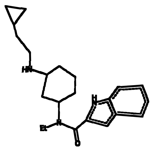 CCN(C(=O)c1cc2ccccc2[nH]1)C1CCCC(NCCC2CC2)C1